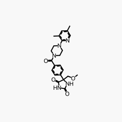 COCC1(c2ccc(C(=O)N3CCN(c4ncc(C)cc4C)CC3)cc2)NC(=O)NC1=O